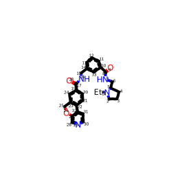 CCN1CCCC1CNC(=O)c1cccc(CNC(=O)c2ccc3c(c2)COc2cnccc2-3)c1